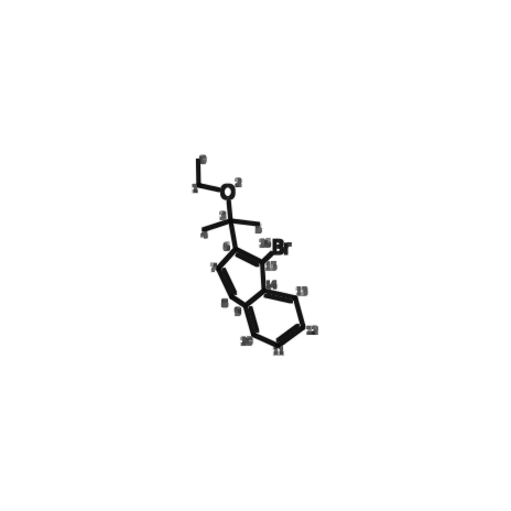 CCOC(C)(C)c1ccc2ccccc2c1Br